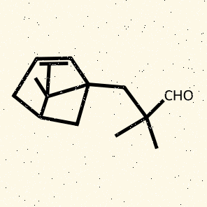 CC(C)(C=O)CC12C=CCC(C1)C2(C)C